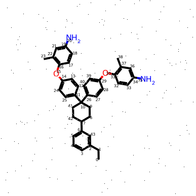 CCc1cccc(C2CCC(c3ccc(Oc4ccc(N)cc4C)cc3)(c3ccc(Oc4ccc(N)cc4C)cc3)CC2)c1